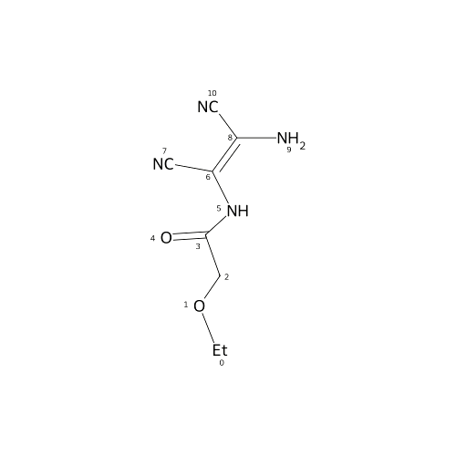 CCOCC(=O)N/C(C#N)=C(\N)C#N